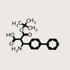 CC(C)(C)OC(=O)C(C(=O)O)C(N)c1ccc(-c2ccccc2)cc1